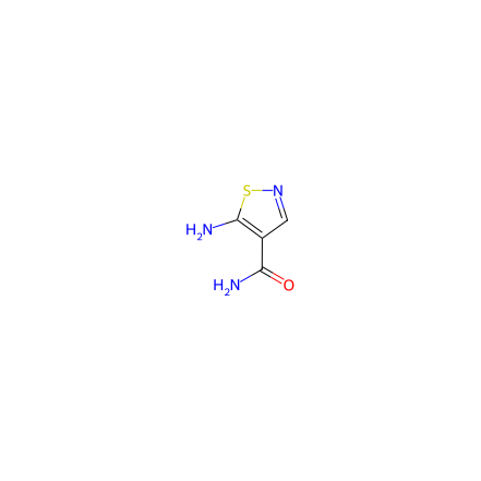 NC(=O)c1cnsc1N